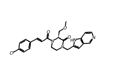 COC[C@H]1C(=O)N(Cc2cc3cnccc3[nH]2)CCN1C(=O)/C=C/c1ccc(Cl)cc1